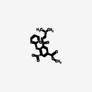 COC(=O)c1cc([N+](=O)[O-])c(Sc2ncccn2)c(S(=O)(=O)N=CN(C)C)c1